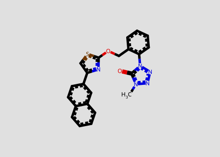 Cn1nnn(-c2ccccc2COc2nc(-c3ccc4ccccc4c3)cs2)c1=O